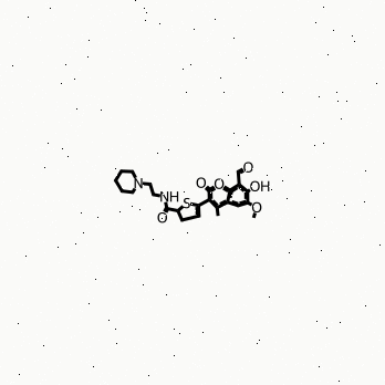 COc1cc2c(C)c(C3=CCC(C(=O)NCCN4CCCCC4)S3)c(=O)oc2c(C=O)c1O